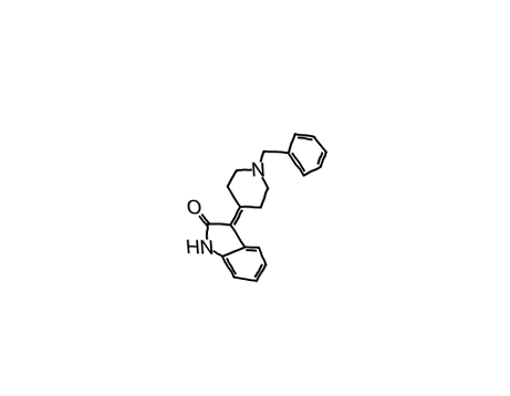 O=C1Nc2ccccc2C1=C1CCN(Cc2ccccc2)CC1